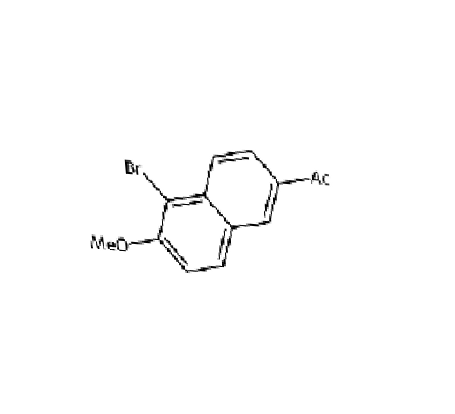 COc1ccc2cc(C(C)=O)ccc2c1Br